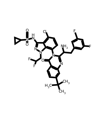 CC(C)(C)c1ccc2c(=O)n(-c3ccc(Cl)c4c(NS(=O)(=O)C5CC5)nn(CC(F)F)c34)c(C(N)Cc3cc(F)cc(F)c3)nc2c1